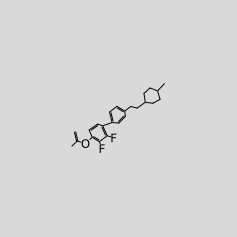 C=C(C)Oc1ccc(-c2ccc(CCC3CCC(C)CC3)cc2)c(F)c1F